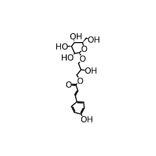 O=C(C=Cc1ccc(O)cc1)OCC(O)CO[C@@H]1O[C@H](CO)[C@@H](O)[C@H](O)[C@H]1O